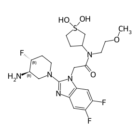 COCCN(C(=O)Cn1c(N2CC[C@@H](F)[C@H](N)C2)nc2cc(F)c(F)cc21)C1CCS(O)(O)C1